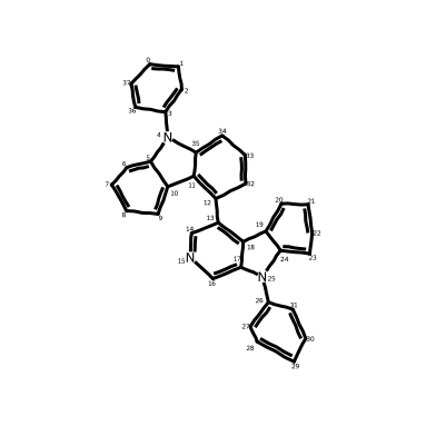 c1ccc(-n2c3ccccc3c3c(-c4cncc5c4c4ccccc4n5-c4ccccc4)cccc32)cc1